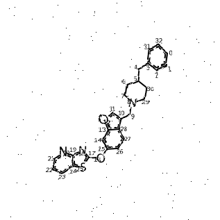 c1ccc(CC2CCN(Cc3coc4cc(Oc5nc6ncccc6s5)ccc34)CC2)cc1